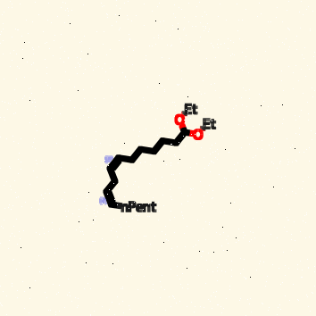 CCCCC/C=C\C/C=C\CCCCCC(OCC)OCC